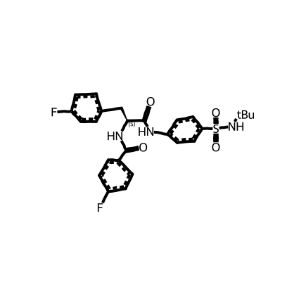 CC(C)(C)NS(=O)(=O)c1ccc(NC(=O)[C@H](Cc2ccc(F)cc2)NC(=O)c2ccc(F)cc2)cc1